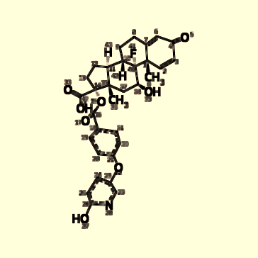 C[C@]12C=CC(=O)C=C1CC[C@H]1[C@@H]3CC[C@](OC(=O)c4ccc(Oc5ccc(O)nc5)cc4)(C(=O)O)[C@@]3(C)C[C@H](O)[C@@]12F